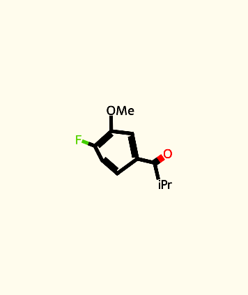 COc1cc(C(=O)C(C)C)ccc1F